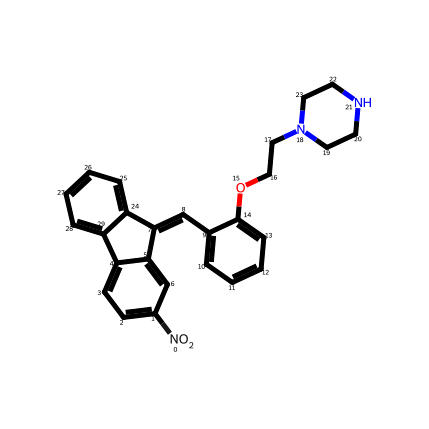 O=[N+]([O-])c1ccc2c(c1)C(=Cc1ccccc1OCCN1CCNCC1)c1ccccc1-2